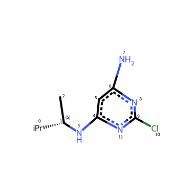 CC(C)[C@H](C)Nc1cc(N)nc(Cl)n1